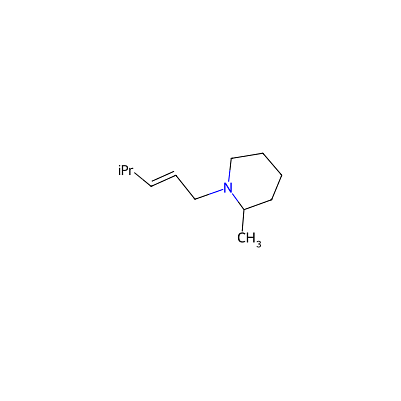 CC(C)/C=C/CN1CCCCC1C